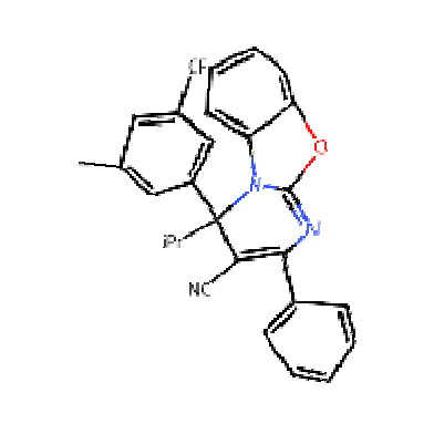 Cc1cc(C(F)(F)F)cc(C2(C(C)C)C(C#N)=C(c3ccccc3)N=C3Oc4ccccc4N32)c1